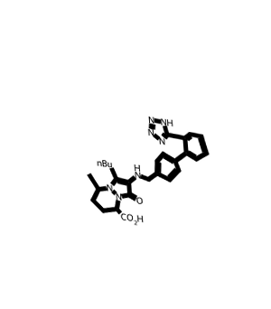 CCCCc1c(NCc2ccc(-c3ccccc3-c3nnn[nH]3)cc2)c(=O)n2n1C(C)CCC2C(=O)O